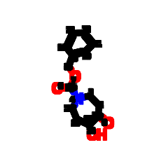 O=C1CCN(C(=O)OCc2ccccc2)CCC1O